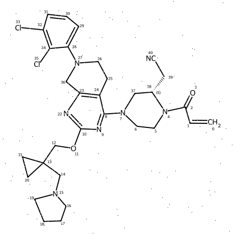 C=CC(=O)N1CCN(c2nc(OCC3(CN4CCCC4)CC3)nc3c2CCN(c2cccc(Cl)c2Cl)C3)C[C@@H]1CC#N